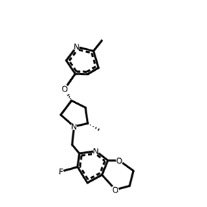 Cc1ccc(O[C@@H]2C[C@H](C)N(Cc3nc4c(cc3F)OCCO4)C2)cn1